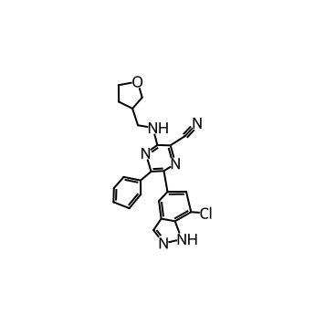 N#Cc1nc(-c2cc(Cl)c3[nH]ncc3c2)c(-c2ccccc2)nc1NCC1CCOC1